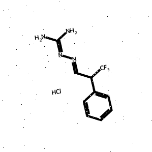 Cl.NC(N)=NN=CC(c1ccccc1)C(F)(F)F